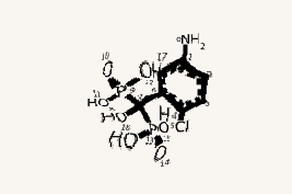 Nc1ccc(Cl)c(C(O)(P(=O)(O)O)P(=O)(O)O)c1